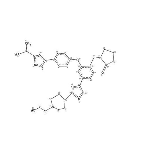 CC(C)c1nnc(-c2ccc(Oc3cc(-c4nnc(C5CCN(CCO)CC5)o4)ccc3CN3CCCC3=O)cc2)s1